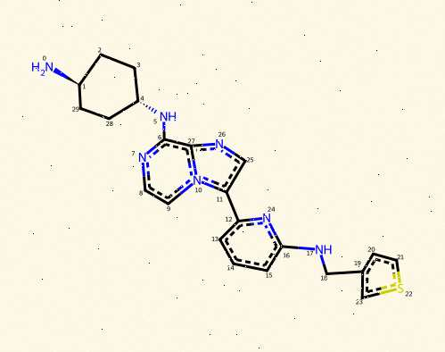 N[C@H]1CC[C@H](Nc2nccn3c(-c4cccc(NCc5ccsc5)n4)cnc23)CC1